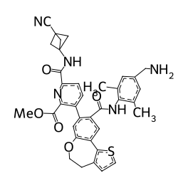 COC(=O)c1nc(C(=O)NC23CC(C#N)(C2)C3)ccc1-c1cc2c(cc1C(=O)Nc1c(C)cc(CN)cc1C)-c1sccc1CCO2